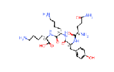 NCCCC[C@H](NC(=O)[C@H](CCCCN)NC(=O)[C@H](Cc1ccc(O)cc1)NC(=O)[C@@H](N)CCC(N)=O)C(=O)O